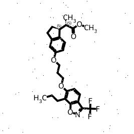 CCCc1c(OCCCOc2ccc3c(c2)CC[C@H]3[C@H](C)C(=O)OC)ccc2c(C(F)(F)F)noc12